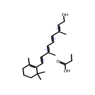 CC1=C(/C=C/C(C)=C/C=C/C(C)=C/CO)C(C)(C)CCC1.CCC(=O)O